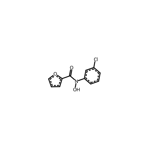 O=C(c1ccco1)N(O)c1cccc(Cl)c1